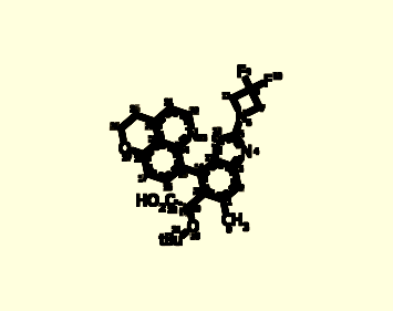 Cc1cc2nc(N3CC(F)(F)C3)sc2c(-c2ccc3c4c(ccnc24)CCO3)c1[C@H](OC(C)(C)C)C(=O)O